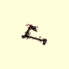 CCCC1O[C@@H]2CC3[C@@H]4CCC5=CC(=O)C=C[C@]5(C)[C@H]4[C@@H](O)C[C@]3(C)[C@]2(C(=O)COC(=O)OCc2ccc(NC(=O)[C@H](CCCNC(N)=O)NC(=O)[C@@H](NC(=O)CCOCCOCCOCCOCCNC(=O)CCC(=O)N3Cc4ccccc4/C=C\c4ccccc43)C(C)C)cc2)O1